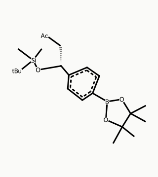 CC(=O)C[C@@H](O[Si](C)(C)C(C)(C)C)c1ccc(B2OC(C)(C)C(C)(C)O2)cc1